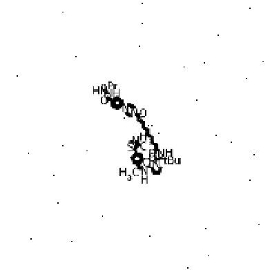 CCCNNC(=O)c1ccc(N2CCN(C(=O)CCCCCCCCC(=O)N[C@H](C(=O)N3CCC[C@H]3C(=O)N[C@@H](C)c3ccc(-c4scnc4C)cc3)C(C)(C)C)CC2)cc1